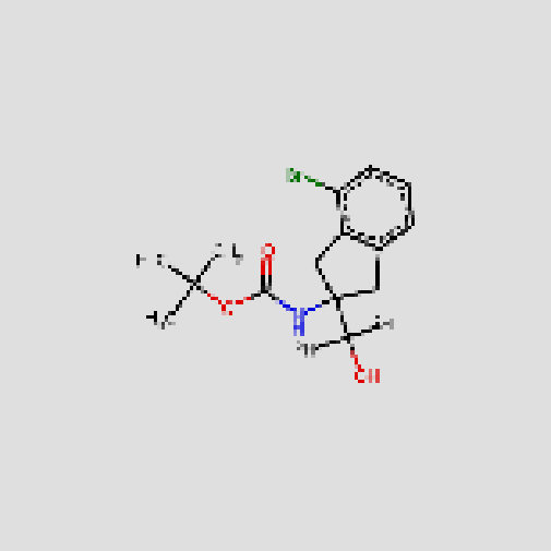 [2H]C([2H])(O)C1(NC(=O)OC(C)(C)C)Cc2cccc(Br)c2C1